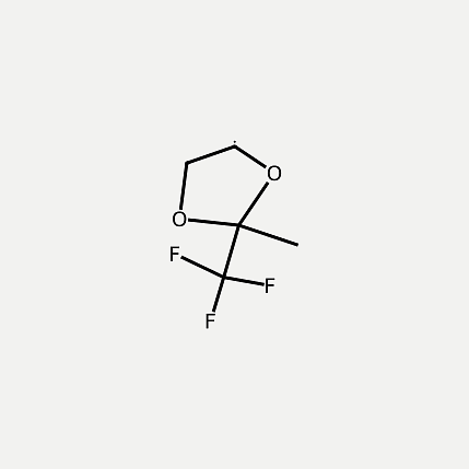 CC1(C(F)(F)F)O[CH]CO1